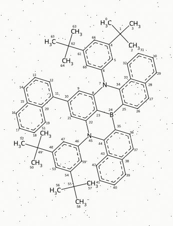 CC(C)(C)c1cc(N2c3cc(-c4cccc5ccccc45)cc4c3B(c3ccc5ccccc5c32)c2ccc3ccccc3c2N4c2cc(C(C)(C)C)cc(C(C)(C)C)c2)cc(C(C)(C)C)c1